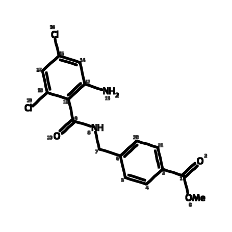 COC(=O)c1ccc(CNC(=O)c2c(N)cc(Cl)cc2Cl)cc1